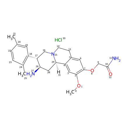 COc1cc2c(cc1OCC(N)=O)CCN1C[C@@H](c3cc(C)ccc3C)[C@H](N)C[C@H]21.Cl